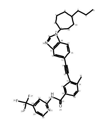 CCCC1CCCC(n2cnc3cc(C#Cc4cc(C(=O)Nc5cc(C(F)(F)F)ccn5)ccc4C)ccc32)CC1